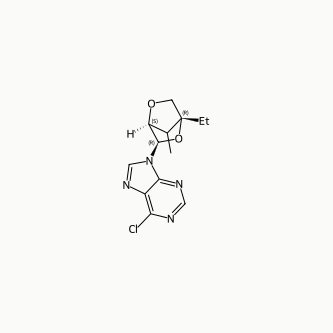 CC[C@]12CO[C@@H](C1C)[C@H](n1cnc3c(Cl)ncnc31)O2